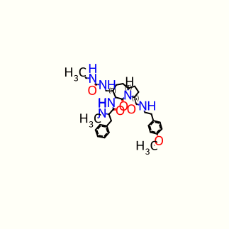 CCNC(=O)NC[C@H]1CC[C@H]2CC[C@@H](C(=O)NCCc3ccc(OC)cc3)N2C(=O)C1NC(=O)C(Cc1ccccc1)NC